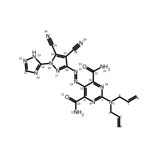 C=CCN(CC=C)c1nc(C(N)=O)c(N=Nc2nn(-c3ncn[nH]3)c(C#N)c2C#N)c(C(N)=O)n1